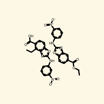 CCOC(=O)c1ccc2oc(Nc3cccc([N+](=O)[O-])c3)nc2c1.CCc1c(C(=O)O)ccc2oc(Nc3cccc([N+](=O)[O-])c3)nc12